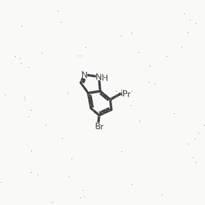 CC(C)c1cc(Br)cc2cn[nH]c12